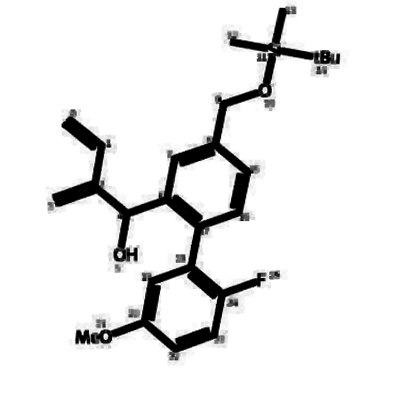 C=CC(=C)C(O)c1cc(CO[Si](C)(C)C(C)(C)C)ccc1-c1cc(OC)ccc1F